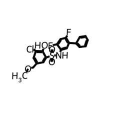 COCc1cc(Cl)c(O)c(S(=O)(=O)Nc2cc(-c3ccccc3)c(F)cc2F)c1